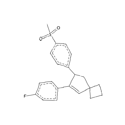 CS(=O)(=O)c1ccc(C2CC3(C=C2c2ccc(F)cc2)CCC3)cc1